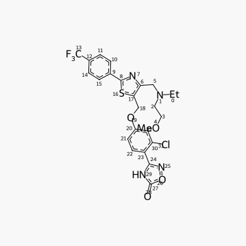 CCN(CCOC)Cc1nc(-c2ccc(C(F)(F)F)cc2)sc1COc1ccc(-c2noc(=O)[nH]2)c(Cl)c1